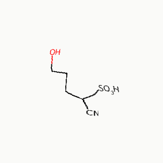 N#CC(CCCO)S(=O)(=O)O